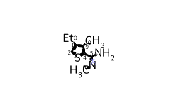 CCc1csc(/C(N)=N\C)c1C